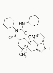 CO[C@@]12CC(C(=O)N(C(=O)NC3CCCCC3)C3CCCCC3)CN(C)[C@@H]1Cc1c[nH]c3cccc2c13